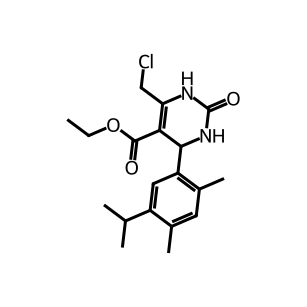 CCOC(=O)C1=C(CCl)NC(=O)NC1c1cc(C(C)C)c(C)cc1C